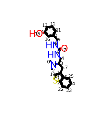 CN(C)C(CNC(=O)NCc1cccc(O)c1)Cc1csc2ccccc12